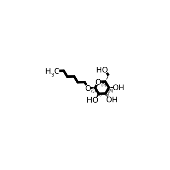 CCCCCCO[C@H]1O[C@H](CO)[C@H](O)[C@H](O)[C@H]1O